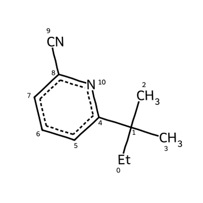 CCC(C)(C)c1cccc(C#N)n1